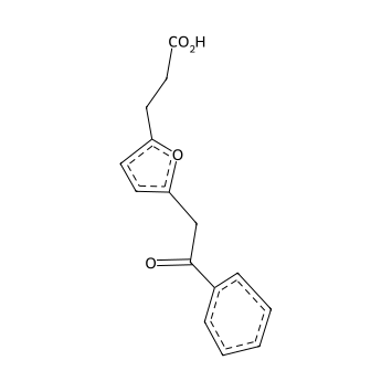 O=C(O)CCc1ccc(CC(=O)c2ccccc2)o1